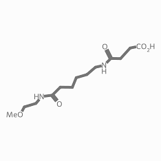 COCCNC(=O)CCCCCNC(=O)CCC(=O)O